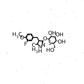 COc1ccc(CC2C(O[C@@H]3S[C@H](CO)[C@@H](O)[C@H](O)[C@H]3O)=NNC2C)cc1F